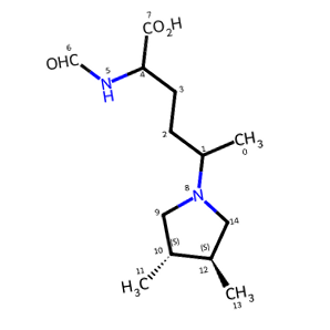 CC(CCC(NC=O)C(=O)O)N1C[C@@H](C)[C@H](C)C1